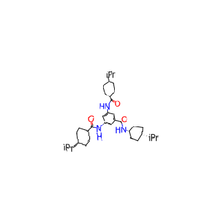 CC(C)C1CCC(C(=O)Nc2cc(NC(=O)C3CCC(C(C)C)CC3)cc(C(=O)N[C@H]3CC[C@@H](C(C)C)CC3)c2)CC1